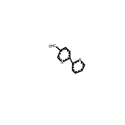 O=Cc1ccc(-c2ccccn2)nc1